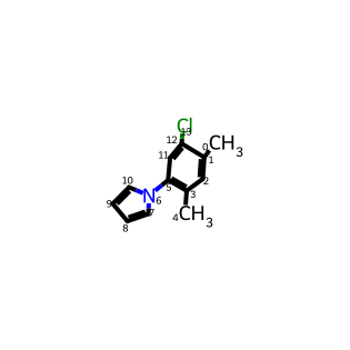 Cc1cc(C)c(-n2cccc2)cc1Cl